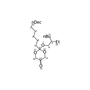 CCCCCCCCCCCCCCCC1(OCC(CC)CCCC)OCC(=O)CO1